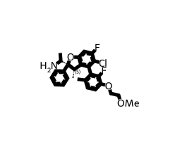 COCCOc1ccc(C)c(-c2c(Cl)c(F)cc3c2[C@H](C)[C@](c2ccccc2)(C(C)N)O3)c1F